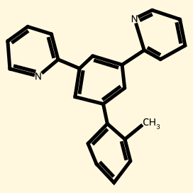 Cc1ccccc1-c1cc(-c2ccccn2)cc(-c2ccccn2)c1